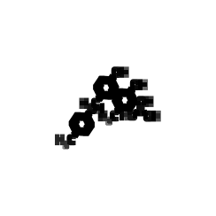 Cc1ccc(O)cc1.Cc1ccc(O)cc1.Cc1ccc(O)cc1.OP(O)O